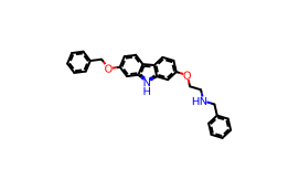 c1ccc(CNCCOc2ccc3c(c2)[nH]c2cc(OCc4ccccc4)ccc23)cc1